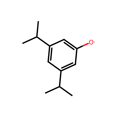 CC(C)c1cc([O])cc(C(C)C)c1